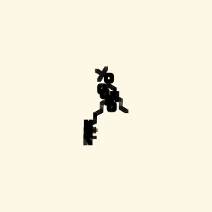 CCCN(CC(=O)OC(C)(C)C)S(=O)(=O)CCCCN=[N+]=[N-]